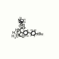 CC(C)(C)c1ccc(-c2ccc3c(c2)OCC(C)(C)C3NC(=O)O[C@H]2CN3CCC2CC3)cc1